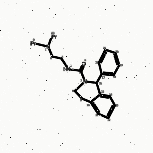 CC(C)N(CCNC(=O)N1CCc2ccccc2C1c1ccccc1)C(C)C